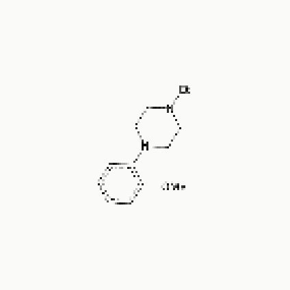 C[CH]N1CCN(c2ccccc2OC)CC1